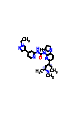 C=N/C(C)=C\C(=C/C)c1ccc2c(n1)N(C(=O)Nc1cc(-c3cnn(CC)c3)ccn1)[C@H]1CCN2C1